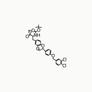 COC(=O)C(Cc1ccc2c(c1)OCC(c1ccc(OCc3ccc(Cl)c(Cl)c3)cc1)O2)NC(=O)OC(C)(C)C